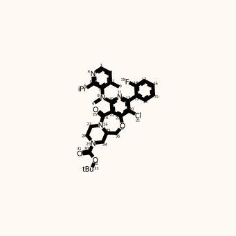 Cc1ccnc(C(C)C)c1N(C)c1nc(-c2ccccc2F)c(Cl)c2c1C(=O)N1CCN(C(=O)OC(C)(C)C)CC1CO2